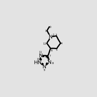 CCN1CCCC(c2nn[nH]n2)C1